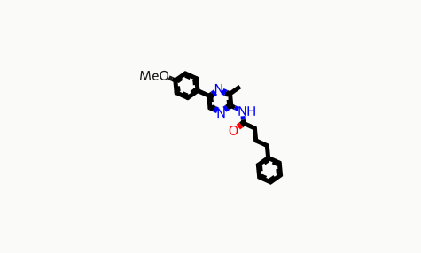 COc1ccc(-c2cnc(NC(=O)CCCc3ccccc3)c(C)n2)cc1